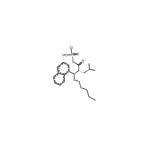 CCCCCON(c1cccc2ccccc12)[C@@H](CC(C)C)C(=O)OP(=O)(O)Cl